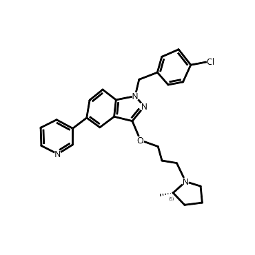 C[C@H]1CCCN1CCCOc1nn(Cc2ccc(Cl)cc2)c2ccc(-c3cccnc3)cc12